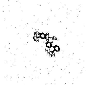 CCCCc1nc2ccc(C3=NCCN3CCCC)cc2n1-c1cccc(-c2ccccc2-c2nnn[nH]2)c1C